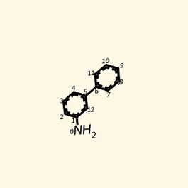 Nc1cccc(-c2c[c]ccc2)c1